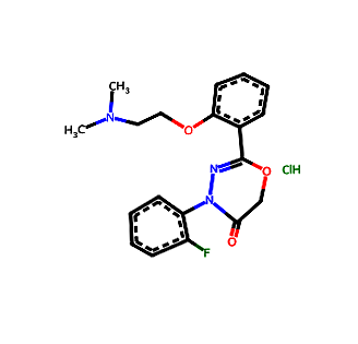 CN(C)CCOc1ccccc1C1=NN(c2ccccc2F)C(=O)CO1.Cl